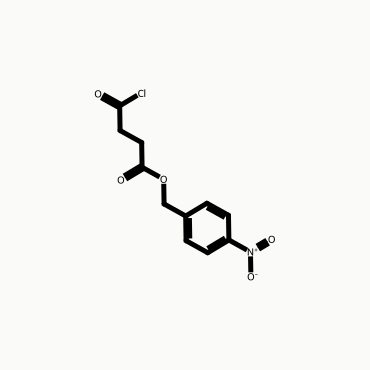 O=C(Cl)CCC(=O)OCc1ccc([N+](=O)[O-])cc1